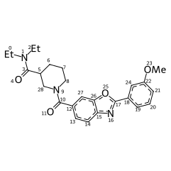 CCN(CC)C(=O)C1CCCN(C(=O)c2ccc3nc(-c4cccc(OC)c4)oc3c2)C1